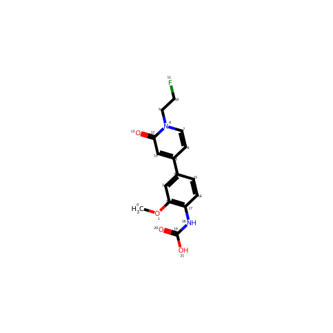 COc1cc(-c2ccn(CCF)c(=O)c2)ccc1NC(=O)O